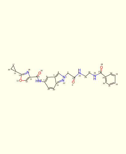 O=C(Cn1cc2cc(NC(=O)c3coc(C4CC4)n3)ccc2n1)NCCNC(=O)c1ccccc1